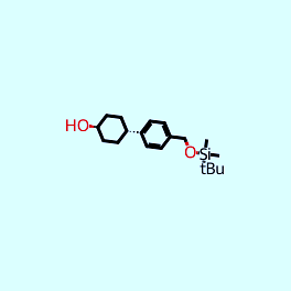 CC(C)(C)[Si](C)(C)OCc1ccc([C@H]2CC[C@H](O)CC2)cc1